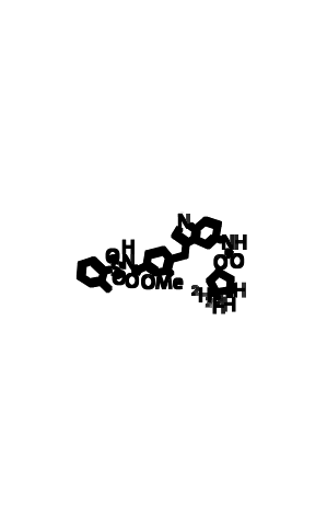 [2H]C1([2H])CC(OC(=O)Nc2ccc3c(c2)c(Cc2ccc(C(=O)NS(=O)(=O)c4ccccc4C)cc2OC)cn3C)CC1([2H])[2H]